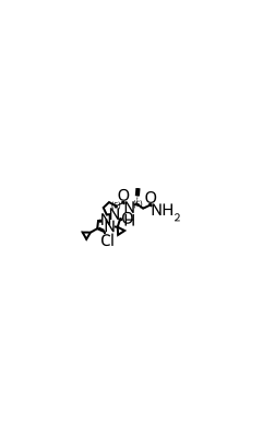 C#C[C@H](CC(N)=O)NC(=O)[C@@H]1CCCN1C(=O)C1(n2ncc(C3CC3)c2Cl)CC1